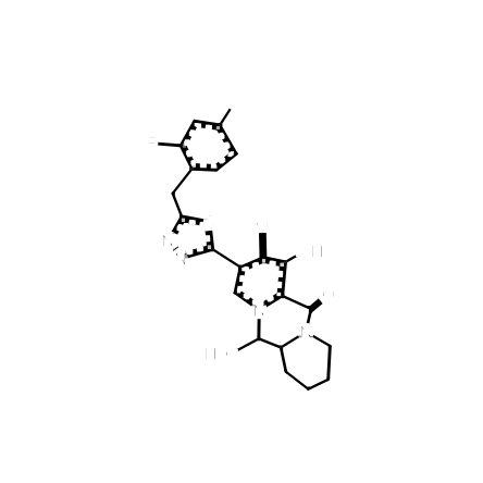 CC1C2CCCCN2C(=O)c2c(O)c(=O)c(-c3nnc(Cc4ccc(F)cc4F)s3)cn21